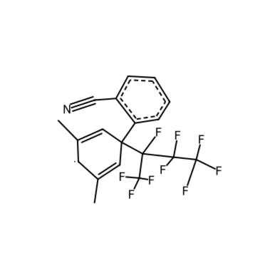 CC1=CC(c2ccccc2C#N)(C(F)(C(F)(F)F)C(F)(F)C(F)(F)F)C=C(C)[CH]1